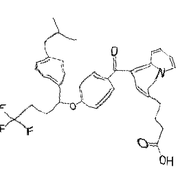 CC(C)Cc1ccc(C(CCC(F)(F)F)Oc2ccc(C(=O)c3cc(CCCC(=O)O)n4ccccc34)cc2)cc1